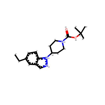 CCc1ccc2c(cnn2C2CCN(C(=O)OC(C)(C)C)CC2)c1